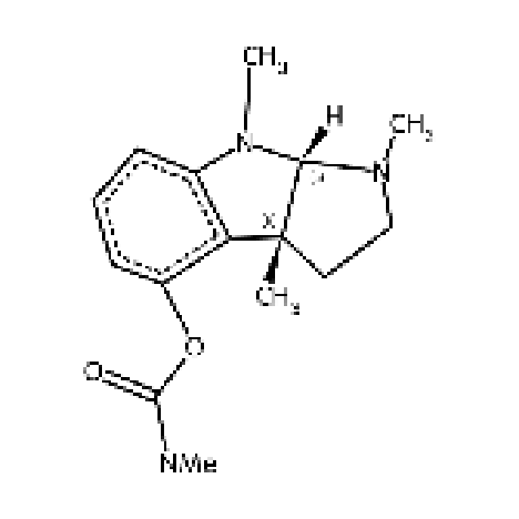 CNC(=O)Oc1cccc2c1[C@@]1(C)CCN(C)[C@H]1N2C